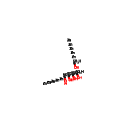 O=S(=O)(O)O.O=S(=O)(O)O.O=S(=O)(O)O.O=S(=O)(O)O.O=S(=O)(O)O.[Zn].[Zn].[Zn].[Zn].[Zn].[Zn].[Zn].[Zn].[Zn].[Zn]